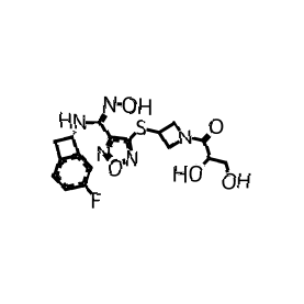 O=C(C(O)CO)N1CC(Sc2nonc2/C(=N\O)N[C@H]2Cc3ccc(F)cc32)C1